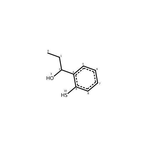 CCC(O)c1ccccc1S